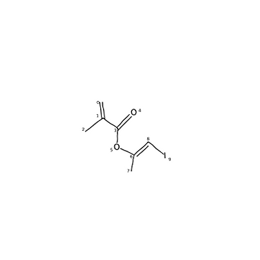 C=C(C)C(=O)OC(C)=CI